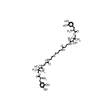 CC(C)(COC(=O)[C@@H](N)Cc1ccc(O)c(O)c1)[C@@H](O)C(=O)NCCC(=O)NCCSSCCNC(=O)CCNC(=O)[C@H](O)C(C)(C)COC(=O)[C@@H](N)Cc1ccc(O)c(O)c1